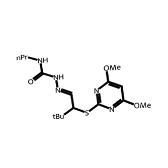 CCCNC(=O)N/N=C/C(Sc1nc(OC)cc(OC)n1)C(C)(C)C